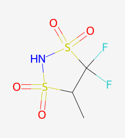 CC1C(F)(F)S(=O)(=O)NS1(=O)=O